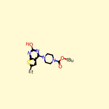 CCc1cc2c(N3CCN(C(=O)OC(C)(C)C)CC3)nc(O)nc2s1